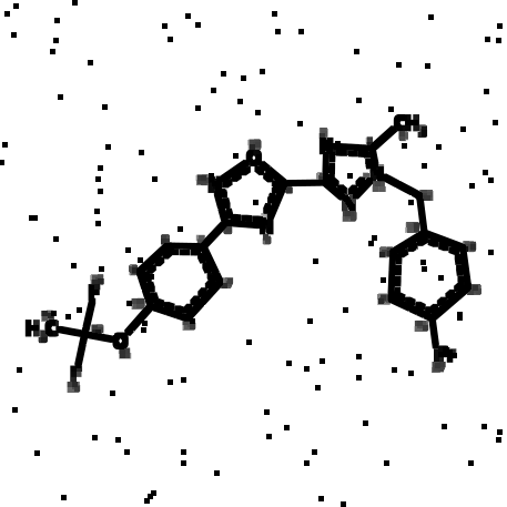 Cc1nc(-c2nc(-c3ccc(OC(C)(F)F)cc3)no2)nn1Cc1ccc(C(C)C)cc1